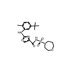 Cc1ccc(C(C)(C)C)cc1Nc1nc(C(=O)NS(=O)(=O)N2CCCOCC2)co1